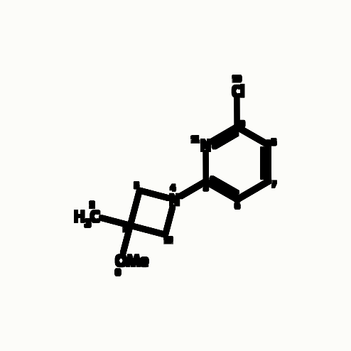 COC1(C)CN(c2cc[c]c(Cl)n2)C1